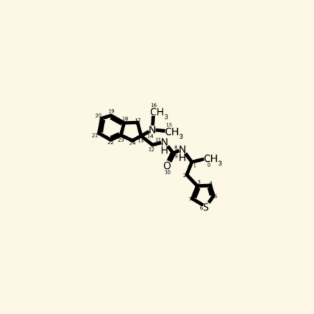 CC(Cc1ccsc1)NC(=O)NCC1(N(C)C)Cc2ccccc2C1